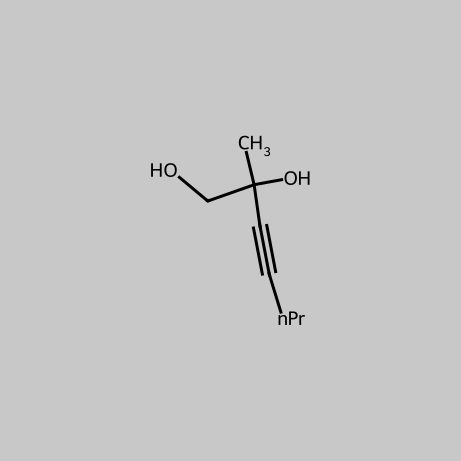 [CH2]CCC#CC(C)(O)CO